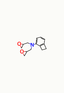 c1cc2c(c(N(CC3CO3)CC3CO3)c1)CC2